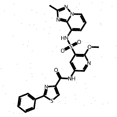 COc1ncc(NC(=O)c2csc(-c3ccccc3)n2)cc1S(=O)(=O)Nc1cccn2nc(C)nc12